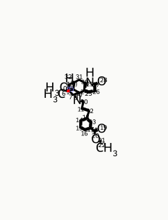 C/C=C1\[C@H]2C=C(C)C[C@]1(N=CC=Cc1cccc(C(=O)OCC)c1)c1ccc(=O)[nH]c1C2